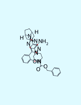 Nc1nnc(-c2ccccc2O)cc1N1C[C@H]2CC[C@@H](C1)N2c1ncc(N2CCN(C(=O)OCc3ccccc3)CC2)cn1